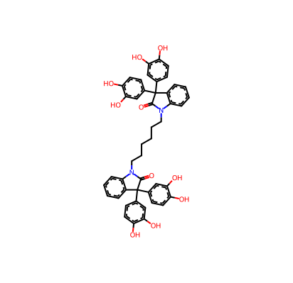 O=C1N(CCCCCCN2C(=O)C(c3ccc(O)c(O)c3)(c3ccc(O)c(O)c3)c3ccccc32)c2ccccc2C1(c1ccc(O)c(O)c1)c1ccc(O)c(O)c1